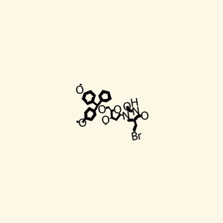 COc1ccc(C(OC[C@H]2O[C@@H](n3cc(C=CBr)c(=O)[nH]c3=O)C[C@@H]2OC)(c2ccccc2)c2ccc(OC)cc2)cc1